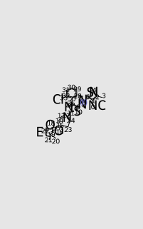 [C-]#[N+]c1c(C)nsc1/N=N/c1sc(N2CCC(OC(=O)C(C)(C)CC)CC2)nc1-c1ccccc1Cl